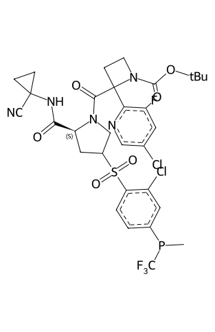 CP(c1ccc(S(=O)(=O)C2C[C@@H](C(=O)NC3(C#N)CC3)N(C(=O)C3(c4ncc(Cl)cc4F)CCN3C(=O)OC(C)(C)C)C2)c(Cl)c1)C(F)(F)F